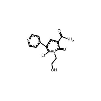 CCc1c(-c2ccncc2)cc(C(N)=O)c(=O)n1CCO